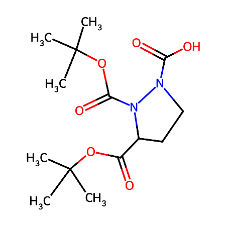 CC(C)(C)OC(=O)C1CCN(C(=O)O)N1C(=O)OC(C)(C)C